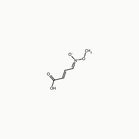 CO[N+]([O-])=CC=CC(=O)O